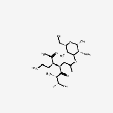 CC(=O)N[C@@H]1[C@@H](OC(C)CN(C(=O)[C@@H](N)[C@@H](C)O)[C@@H](CCC(=O)O)C(N)=O)[C@H](O)[C@@H](CO)O[C@@H]1O